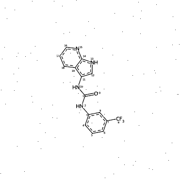 O=C(Nc1cccc(C(F)(F)F)c1)Nc1c[nH]c2ncccc12